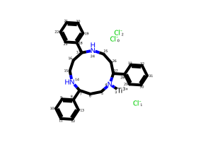 [Cl-].[Cl-].[Cl-].[Ti+3][N]1CCC(c2ccccc2)NCCC(c2ccccc2)NCCC1c1ccccc1